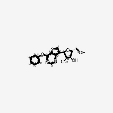 OC[C@H]1OC(c2csc3c(Oc4ccccc4)ncnc23)[C@H](Cl)[C@@H]1O